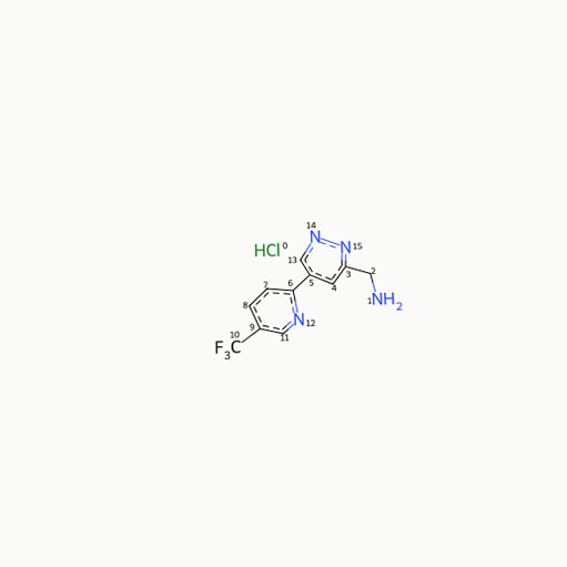 Cl.NCc1cc(-c2ccc(C(F)(F)F)cn2)cnn1